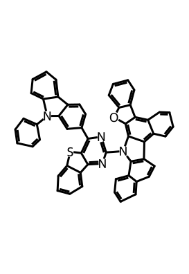 c1ccc(-n2c3ccccc3c3ccc(-c4nc(-n5c6c7ccccc7ccc6c6c7ccccc7c7c8ccccc8oc7c65)nc5c4sc4ccccc45)cc32)cc1